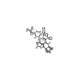 O=C1OC(O)(c2ccc(OC(F)F)cc2)C(Cc2cccs2)=C1c1ccc2nsnc2c1